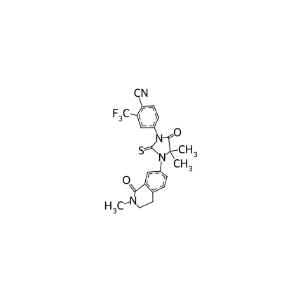 CN1CCc2ccc(N3C(=S)N(c4ccc(C#N)c(C(F)(F)F)c4)C(=O)C3(C)C)cc2C1=O